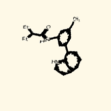 CCC(CC)C(=O)Nc1cc(C)cc(-c2cccc3cc[nH]c23)c1